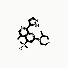 Cc1cnc(-c2ccn[nH]2)c2nc(N3CCOCC3C)cc(P(C)(C)=O)c12